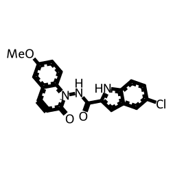 COc1ccc2c(c#cc(=O)n2NC(=O)c2cc3cc(Cl)ccc3[nH]2)c1